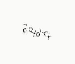 C=CC(=O)OCC(C)(C)OC(C)C1=CC(C)(C)CC1